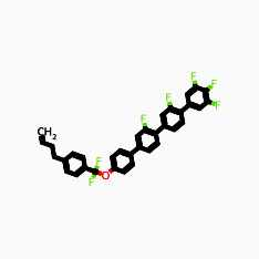 C=CCCc1ccc(C(F)(F)Oc2ccc(-c3ccc(-c4ccc(-c5cc(F)c(F)c(F)c5)c(F)c4)c(F)c3)cc2)cc1